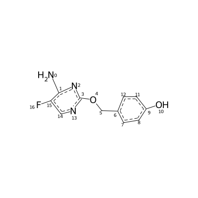 Nc1nc(OCc2ccc(O)cc2)ncc1F